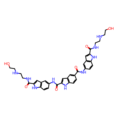 O=C(Nc1ccc2[nH]c(C(=O)NCCNCCO)cc2c1)c1ccc2[nH]c(C(=O)Nc3ccc4[nH]c(C(=O)NCCNCCO)cc4c3)cc2c1